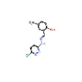 O=[N+]([O-])c1ccc(O)c(C=NNc2ccc(Cl)nn2)c1